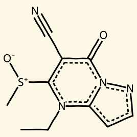 CCn1c([S+](C)[O-])c(C#N)c(=O)n2nccc12